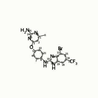 Cc1cc(Oc2ccc(Nc3nc4c(Br)cc(C(F)(F)F)cc4[nH]3)cc2)nc(N)n1